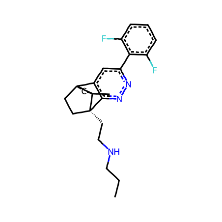 CCCNCC[C@]12CCC3(CC31C)c1cc(-c3c(F)cccc3F)nnc12